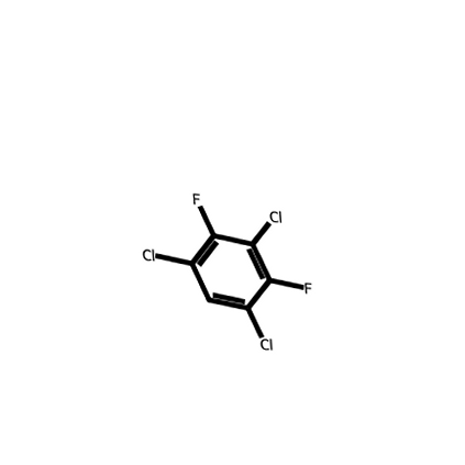 Fc1c(Cl)cc(Cl)c(F)c1Cl